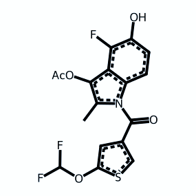 CC(=O)Oc1c(C)n(C(=O)c2csc(OC(F)F)c2)c2ccc(O)c(F)c12